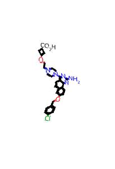 Nc1nc2c(c(N3CCN(CCO[C@H]4C[C@@H](C(=O)O)C4)CC3)n1)CCc1cc(OCc3ccc(Cl)cc3)ccc1-2